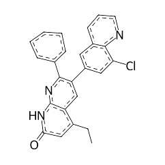 CCc1cc(=O)[nH]c2nc(-c3ccccc3)c(-c3cc(Cl)c4ncccc4c3)cc12